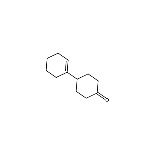 O=C1CCC(C2=CCCCC2)CC1